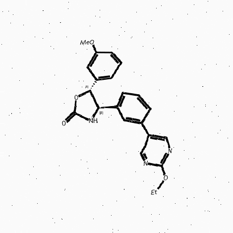 CCOc1ncc(-c2cccc([C@H]3NC(=O)O[C@@H]3c3cccc(OC)c3)c2)cn1